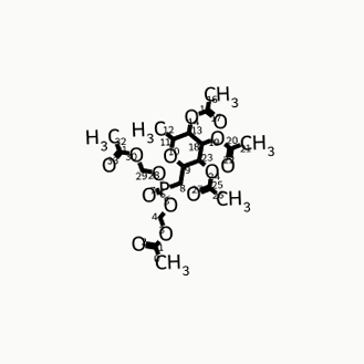 CC(=O)OCOP(=O)(CC1OC(C)C(OC(C)=O)C(OC(C)=O)C1OC(C)=O)OCOC(C)=O